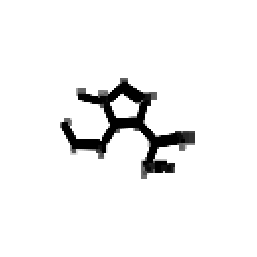 C/C=N\c1c(C(=N)NC(C)=O)ncn1C